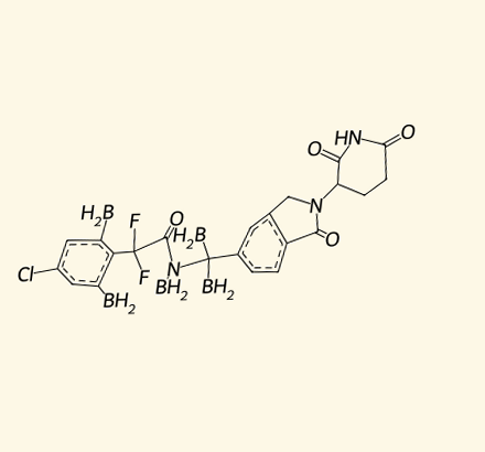 Bc1cc(Cl)cc(B)c1C(F)(F)C(=O)N(B)C(B)(B)c1ccc2c(c1)CN(C1CCC(=O)NC1=O)C2=O